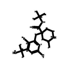 CC1CC(Cc2nc(Cl)cc(C(C)(C)O)c2F)(C(=O)OC(C)(C)C)CCN1